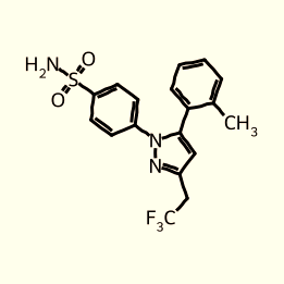 Cc1ccccc1-c1cc(CC(F)(F)F)nn1-c1ccc(S(N)(=O)=O)cc1